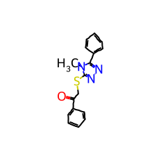 Cn1c(SCC(=O)c2ccccc2)nnc1-c1ccccc1